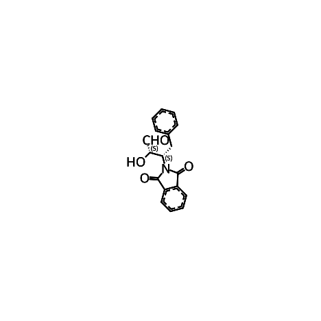 O=C[C@@H](O)[C@H](Cc1ccccc1)N1C(=O)c2ccccc2C1=O